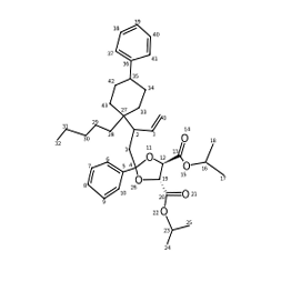 [CH]=CC(CC1(c2ccccc2)O[C@@H](C(=O)OC(C)C)[C@H](C(=O)OC(C)C)O1)C1(CCCCC)CCC(c2ccccc2)CC1